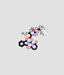 CC(C)[C@H](NC(=O)OC(C)(C)C)C(=O)OC(N1C(=O)CCCC1=O)N1C(=O)c2ccccc2C1=O